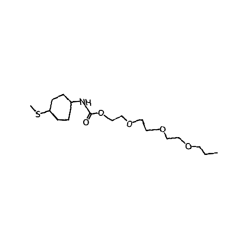 CCCOCCOCCOCCOC(=O)NC1CCC(SC)CC1